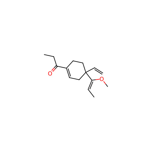 C=CC1(C(=CC)OC)CC=C(C(=O)CC)CC1